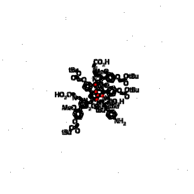 COc1cc(OCC(=O)OC(C)(C)C)ccc1-c1cc(CN=CC(=O)O)nc(Cc2cc(-c3ccc(OCC(=O)OC(C)(C)C)cc3OC)cc(CN(CC(=O)O)N(N(CC(=O)O)Cc3cc(-c4ccc(OCC(=O)OC(C)(C)C)cc4OC)cc(Cc4cc(-c5ccc(OCC(=O)OC(C)(C)C)cc5OC)cc(CN=CC(=O)O)n4)n3)C(C(C)(C)C)(C(C)(C)C)C(c3ccc(N)cc3)(C(C)(C)C)C(C)(C)C)n2)c1